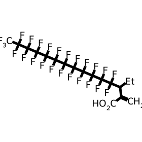 C=C(C(=O)O)C(CC)C(F)(F)C(F)(F)C(F)(F)C(F)(F)C(F)(F)C(F)(F)C(F)(F)C(F)(F)C(F)(F)C(F)(F)C(F)(F)C(F)(F)F